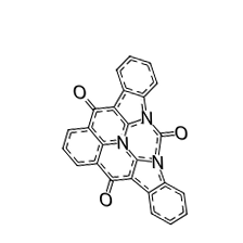 O=c1c2cccc3c(=O)c4c5ccccc5n5c(=O)n6c7ccccc7c1c6n(c23)c45